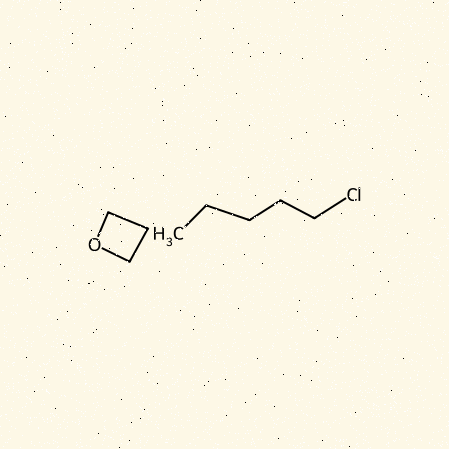 C1COC1.CCCCCCl